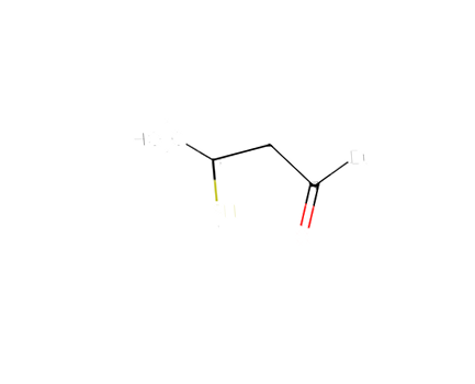 CCC(=O)CC(S)C(=O)O